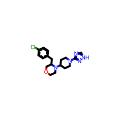 Clc1ccc(CC2COCCN2C2CCN(c3nc[nH]n3)CC2)cc1